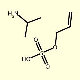 C=CCOS(=O)(=O)O.CC(C)N